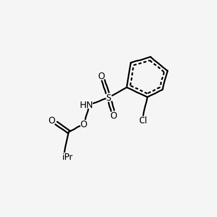 CC(C)C(=O)ONS(=O)(=O)c1ccccc1Cl